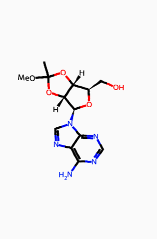 COC1(C)O[C@@H]2[C@H](O1)[C@@H](CO)O[C@H]2n1cnc2c(N)ncnc21